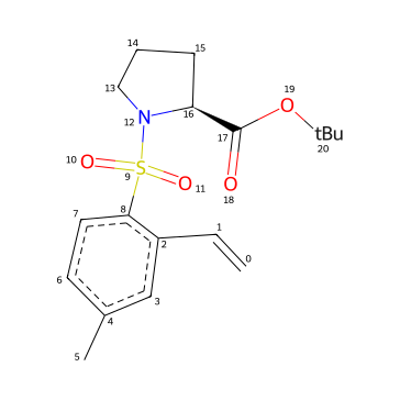 C=Cc1cc(C)ccc1S(=O)(=O)N1CCC[C@H]1C(=O)OC(C)(C)C